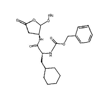 CCCCOC1OC(=O)C[C@@H]1NC(=O)[C@H](CC1CCCCC1)NC(=O)OCc1ccccc1